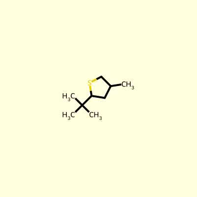 CC1CSC(C(C)(C)C)C1